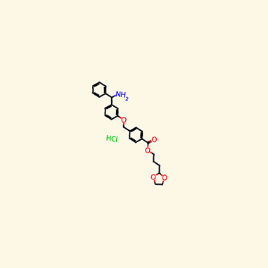 Cl.NC(c1ccccc1)c1cccc(OCc2ccc(C(=O)OCCCC3OCCO3)cc2)c1